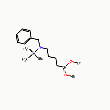 CCO[SiH](CCCCN(Cc1ccccc1)[Si](C)(C)C(C)(C)C)OCC